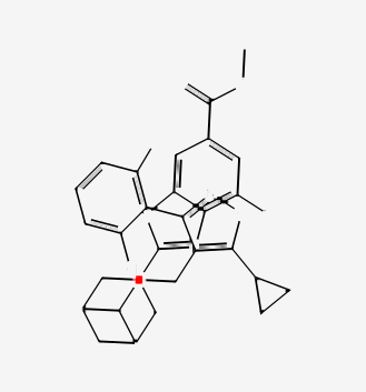 COC(=O)c1cc(F)c2nc(N3CC4CC(C3)C4OCc3c(-c4c(Cl)cccc4Cl)noc3C3CC3)sc2c1